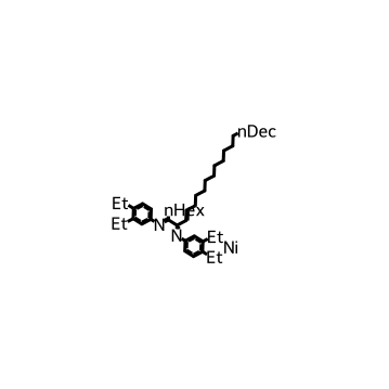 CCCCCCCCCCCCCCCCCCCC/C=C/C(=N\c1ccc(CC)c(CC)c1)C(/CCCCCC)=N/c1ccc(CC)c(CC)c1.[Ni]